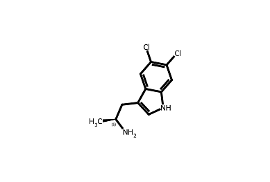 C[C@H](N)Cc1c[nH]c2cc(Cl)c(Cl)cc12